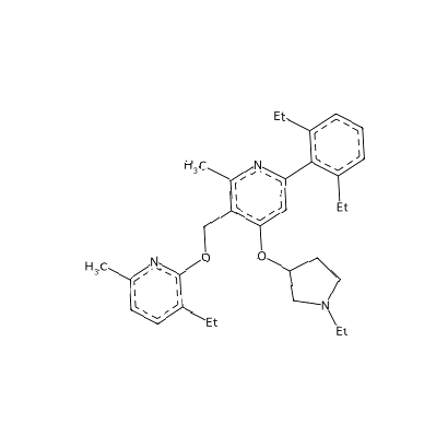 CCc1ccc(C)nc1OCc1c(OC2CCN(CC)C2)cc(-c2c(CC)cccc2CC)nc1C